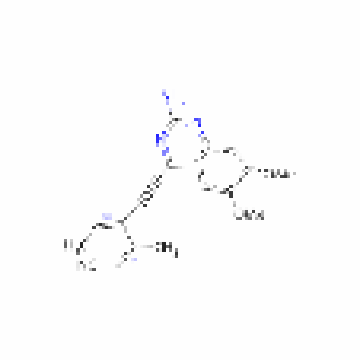 C/C=C(C#Cc1nc(N)nc2cc(OC)c(OC)cc12)\C(C)=C/C#N